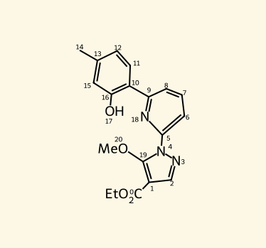 CCOC(=O)c1cnn(-c2cccc(-c3ccc(C)cc3O)n2)c1OC